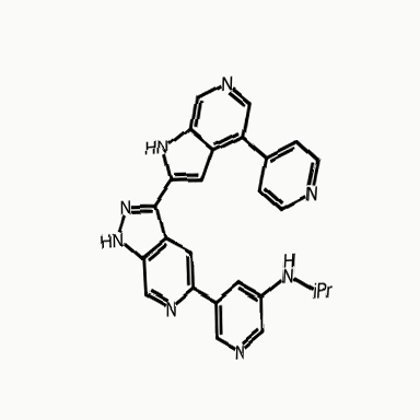 CC(C)Nc1cncc(-c2cc3c(-c4cc5c(-c6ccncc6)cncc5[nH]4)n[nH]c3cn2)c1